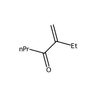 C=C(CC)C(=O)CCC